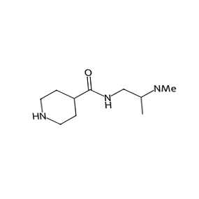 CNC(C)CNC(=O)C1CCNCC1